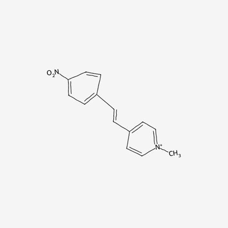 C[n+]1ccc(C=Cc2ccc([N+](=O)[O-])cc2)cc1